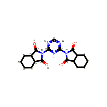 O=C1C2CCCCC2C(=O)N1c1ncnc(N2C(=O)C3CCCCC3C2=O)n1